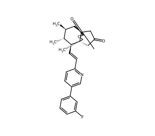 C[C@@H]1[C@@H](C)C[C@]23CC(=O)C[C@]2([C@@H](C)OC3=O)[C@H]1/C=C/c1ccc(-c2cccc(F)c2)cn1